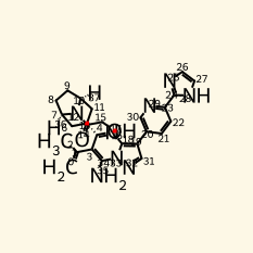 C=C(C)c1c([C@@H]2C[C@H]3CC[C@@H](C2)N3C(=O)CO)nc2c(-c3ccc(-c4ncc[nH]4)nc3)cnn2c1N